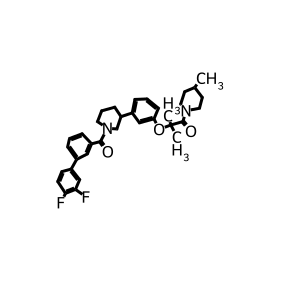 CC1CCN(C(=O)C(C)(C)Oc2cccc(C3CCCN(C(=O)c4cccc(-c5ccc(F)c(F)c5)c4)C3)c2)CC1